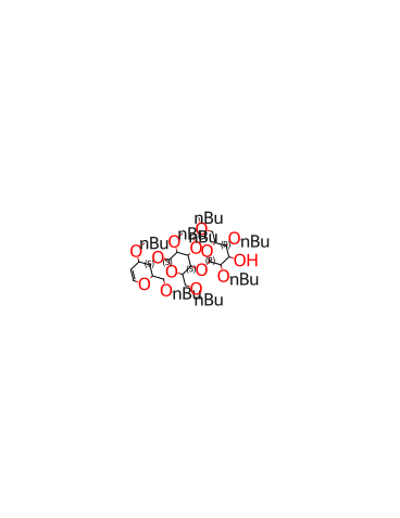 CCCCOCC1OC=CC(OCCCC)[C@@H]1O[C@@H]1OC(COCCCC)[C@H](O[C@H]2OC(COCCCC)[C@H](OCCCC)C(O)C2OCCCC)C(OCCCC)C1OCCCC